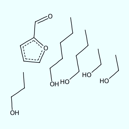 CCCCCO.CCCCO.CCCO.CCO.CCO.O=Cc1ccco1